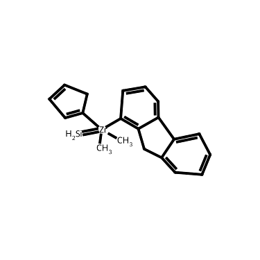 [CH3][Zr]([CH3])(=[SiH2])([C]1=CC=CC1)[c]1cccc2c1Cc1ccccc1-2